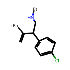 C=C(C(CNCC)c1ccc(Cl)cc1)C(C)(C)C